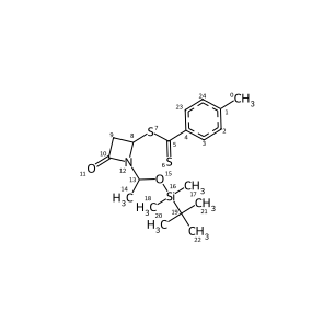 Cc1ccc(C(=S)SC2CC(=O)N2C(C)O[Si](C)(C)C(C)(C)C)cc1